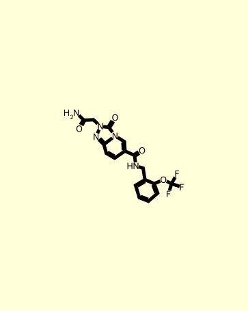 NC(=O)Cn1nc2ccc(C(=O)NCc3ccccc3OC(F)(F)F)cn2c1=O